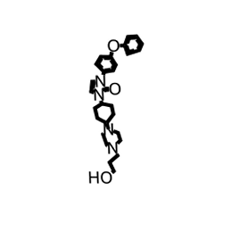 O=c1n(-c2ccc(Oc3ccccc3)cc2)ccn1C1CCC(N2CCN(CCCO)CC2)CC1